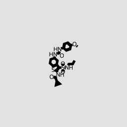 CCCNS(=O)(=O)c1c(NC(=O)C2CC2)sc2c1CC(NC(=O)Nc1ccc(OC)cc1)CC2